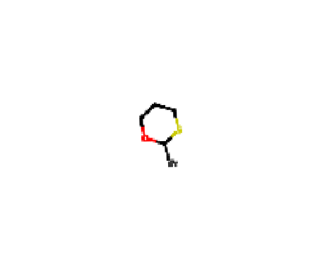 CC(C)C1OCCCS1